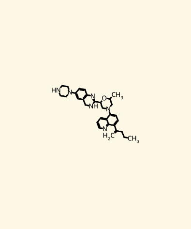 C=C(CCC)c1ccc(N2CC(C)OC(C3=Nc4ccc(N5CCNCC5)cc4CN3)C2)c2cccnc12